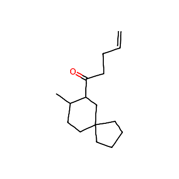 C=CCCC(=O)C1CC2(CCCC2)CCC1C